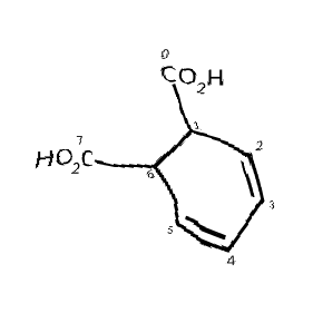 O=C(O)C1C=CC=CC1C(=O)O